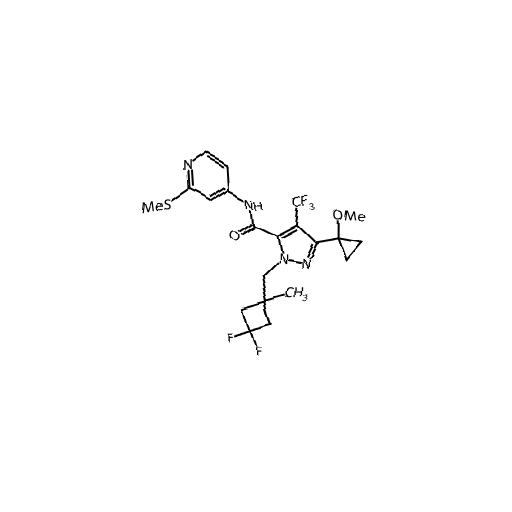 COC1(c2nn(CC3(C)CC(F)(F)C3)c(C(=O)Nc3ccnc(SC)c3)c2C(F)(F)F)CC1